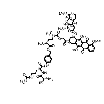 COc1cccc2c1C(=O)c1c(O)c3c(c(OI)c1C2=O)C[C@@H](C(=O)COC(=O)N(C)CCN(C)C(=O)OCc1ccc(NC(=O)[C@H](CCCNC(N)=O)NC(=O)C(N)C(C)C)cc1)C[C@@H]3O[C@H]1C[C@H]2[C@H](O[C@@H]3[C@@H](OC)OCCN32)[C@H](C)O1